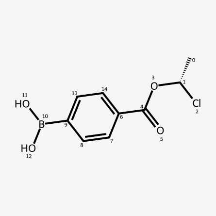 C[C@H](Cl)OC(=O)c1ccc(B(O)O)cc1